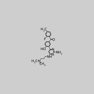 Cc1ccc(C(=O)c2ccc(O)c(-c3cc(NCCCN(C)C)nc(N)n3)c2)c(F)c1